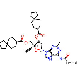 C#C[C@]1(COC(=O)C2CCC3(CCCC3)CC2)O[C@@H](n2cnc3c(NC(=O)CCCCCCC)nc(C)nc32)C[C@@H]1OC(=O)C1CCC2(CCCC2)CC1